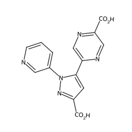 O=C(O)c1cnc(-c2cc(C(=O)O)nn2-c2cccnc2)cn1